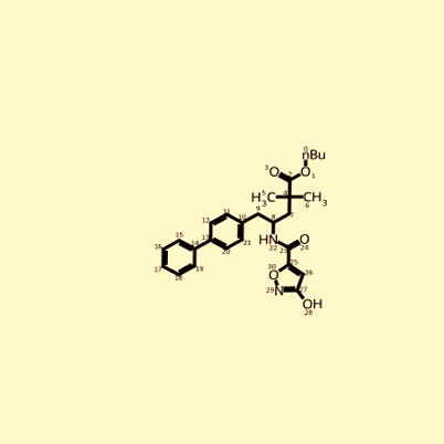 CCCCOC(=O)C(C)(C)CC(Cc1ccc(-c2ccccc2)cc1)NC(=O)c1cc(O)no1